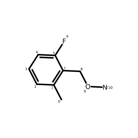 Cc1cccc(F)c1CO[N]